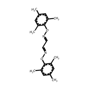 Cc1cc(C)c(O/N=C/C=N/Oc2c(C)cc(C)cc2C)c(C)c1